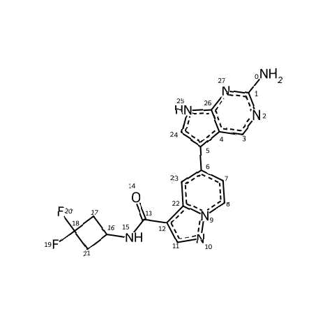 Nc1ncc2c(-c3ccn4ncc(C(=O)NC5CC(F)(F)C5)c4c3)c[nH]c2n1